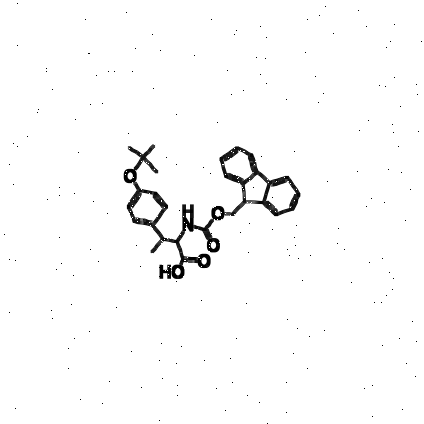 CC(c1ccc(OC(C)(C)C)cc1)C(NC(=O)OCC1c2ccccc2-c2ccccc21)C(=O)O